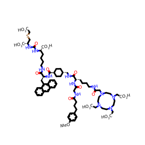 COc1ccc(CCCC(=O)NCC(=O)N[C@@H](CCCCNC(=O)CN2CCN(CC(=O)O)CCN(CC(=O)O)CCN(CC(=O)O)CC2)C(=O)NC[C@H]2CC[C@H](C(=O)N[C@@H](Cc3c4ccccc4cc4ccccc34)C(=O)NCCCC[C@H](NC(=O)N[C@@H](CSCC(=O)O)C(=O)O)C(=O)O)CC2)cc1